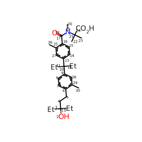 CCC(O)(CC)CCc1ccc(C(CC)(CC)c2ccc(C(=O)N(C)C(C)(C)C(=O)O)c(C)c2)cc1C